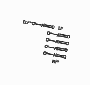 [Co+2].[Li+].[Ni+2].[O]=[Al][O-].[O]=[Al][O-].[O]=[Al][O-].[O]=[Al][O-].[O]=[Al][O-]